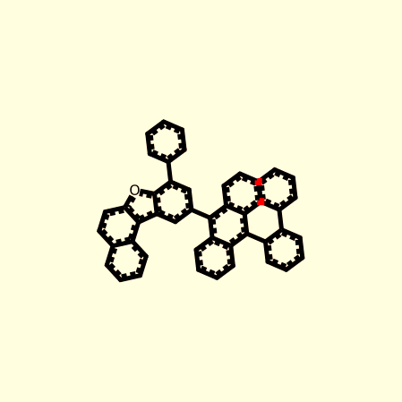 c1ccc(-c2ccccc2-c2c3ccccc3c(-c3cc(-c4ccccc4)c4oc5ccc6ccccc6c5c4c3)c3ccccc23)cc1